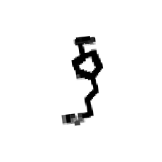 COc1ccc(CCCC(=O)O)nc1